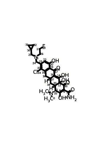 CN(C)[C@@H]1C(O)=C(C(N)=O)C(=O)C2(O)C(O)=C3C(=O)c4c(O)cc(CN(CCF)CC5CC5)c(Cl)c4C[C@H]3C[C@@H]12